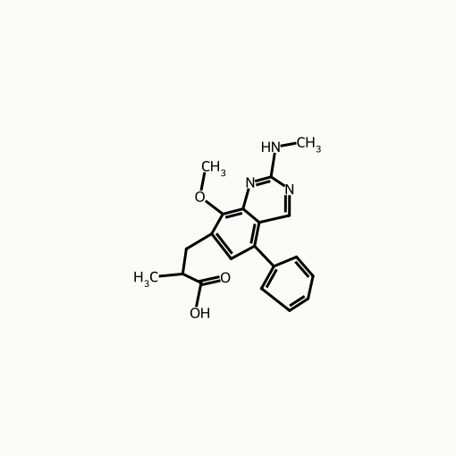 CNc1ncc2c(-c3ccccc3)cc(CC(C)C(=O)O)c(OC)c2n1